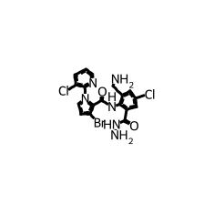 NCc1cc(Cl)cc(C(=O)NN)c1NC(=O)c1c(Br)ccn1-c1ncccc1Cl